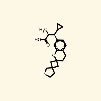 C[C@H](C(=O)O)[C@H](c1ccc2c(c1)OC1(CC2)CC2(CCNC2)C1)C1CC1